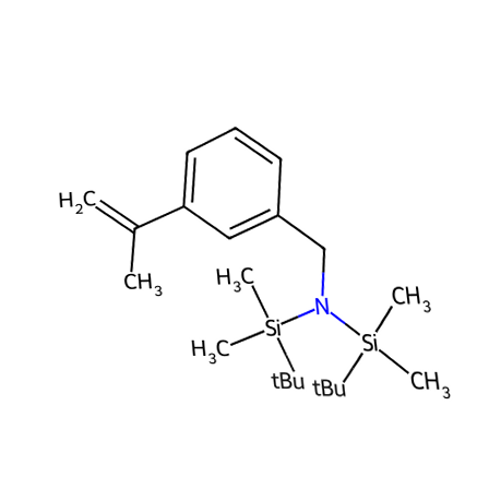 C=C(C)c1cccc(CN([Si](C)(C)C(C)(C)C)[Si](C)(C)C(C)(C)C)c1